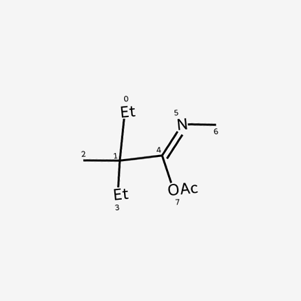 CCC(C)(CC)/C(=N/C)OC(C)=O